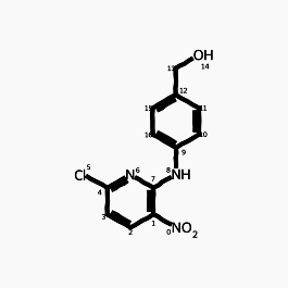 O=[N+]([O-])c1ccc(Cl)nc1Nc1ccc(CO)cc1